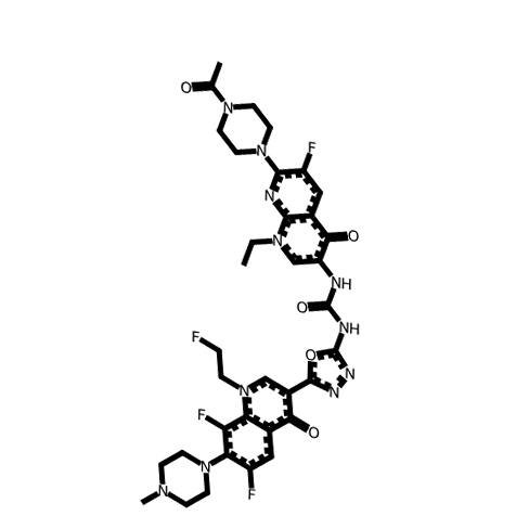 CCn1cc(NC(=O)Nc2nnc(-c3cn(CCF)c4c(F)c(N5CCN(C)CC5)c(F)cc4c3=O)o2)c(=O)c2cc(F)c(N3CCN(C(C)=O)CC3)nc21